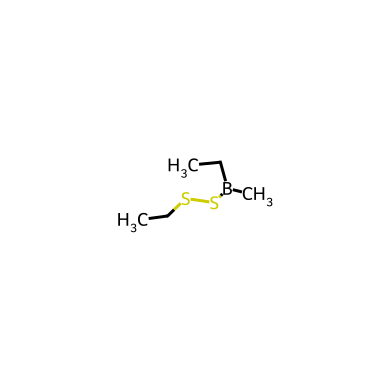 CCSSB(C)CC